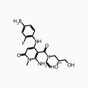 Bc1ccc(Nc2cc(=O)n(C)c(N)c2C(=O)N(C=C)C[C@H](O)CO)c(F)c1